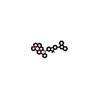 CC1(C)c2cc(-c3cc4ccccc4c4ccccc34)ccc2-c2ccc(N(c3ccc4c(ccc5ccccc54)c3)c3ccccc3-c3ccc(-c4ccccc4)cc3)cc21